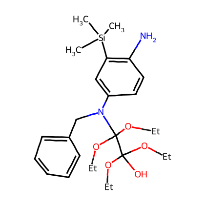 CCOC(O)(OCC)C(OCC)(OCC)N(Cc1ccccc1)c1ccc(N)c([Si](C)(C)C)c1